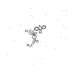 CCOC(=O)N1CCN(S(=O)(=O)C(C)c2ccc3c(c2)Nc2ccccc2S3)CC1